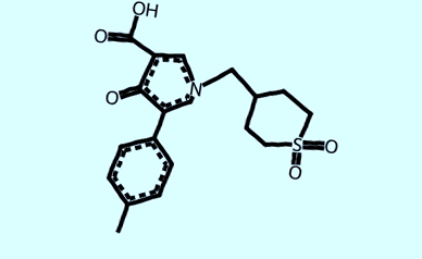 Cc1ccc(-c2cn(CC3CCS(=O)(=O)CC3)cc(C(=O)O)c2=O)cc1